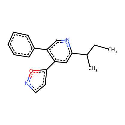 CCC(C)c1cc(-c2ccno2)c(-c2ccccc2)[c]n1